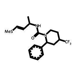 CS/C=C/C(C)NC(=O)N1CCC(C(F)(F)F)CC1c1ccccc1